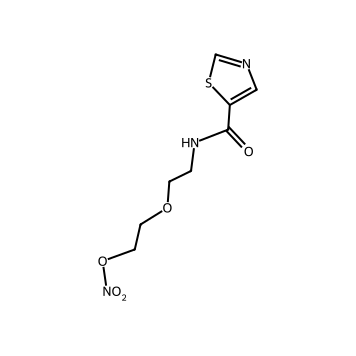 O=C(NCCOCCO[N+](=O)[O-])c1cncs1